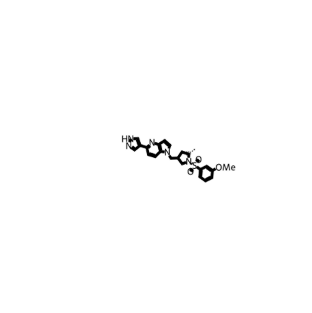 COc1cccc(S(=O)(=O)N2CC(Cn3ccc4nc(-c5cn[nH]c5)ccc43)C[C@@H]2C)c1